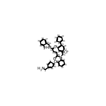 Cl.NCc1ccc(Oc2ccccc2N(Cc2ccc(-c3ccccc3)cc2)C(=O)CCC(=O)NCc2ccccc2F)cc1